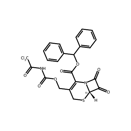 O=C(NC(=O)C(Cl)(Cl)Cl)OCC1=C(C(=O)OC(c2ccccc2)c2ccccc2)N2C(=O)C(=O)[C@@H]2SC1